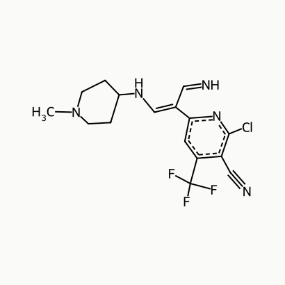 CN1CCC(N/C=C(\C=N)c2cc(C(F)(F)F)c(C#N)c(Cl)n2)CC1